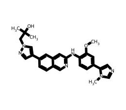 COc1cc(-c2cncn2C)ccc1Nc1cc2cc(-c3cnn(CC(C)(C)O)c3)ccc2cn1